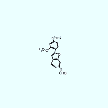 CCCCCc1ccc(-c2cc3ccc(SC=O)cc3o2)c(OC(F)(F)F)c1